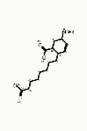 CCCCCCC1C=CC(CCCCCCCC(=O)Cl)C(C(=O)Cl)C1